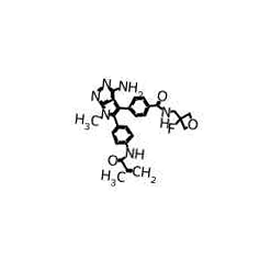 C=C(C)C(=O)Nc1ccc(-c2c(-c3ccc(C(=O)NCC4(F)COC4)cc3)c3c(N)ncnc3n2C)cc1